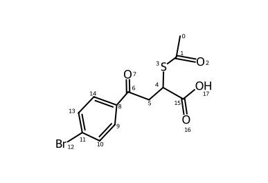 CC(=O)SC(CC(=O)c1ccc(Br)cc1)C(=O)O